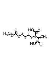 C=C(C(=O)O)C(CCCCCC(=O)OC)C(=O)O